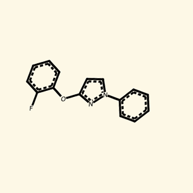 Fc1ccccc1Oc1ccn(-c2ccccc2)n1